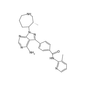 Cc1cccnc1NC(=O)c1ccc(-c2nn(C3CCCNC[C@@H]3C)c3ncnc(N)c23)cc1